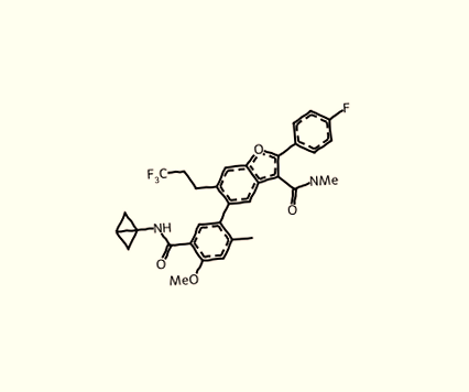 CNC(=O)c1c(-c2ccc(F)cc2)oc2cc(CCC(F)(F)F)c(-c3cc(C(=O)NC45CC4C5)c(OC)cc3C)cc12